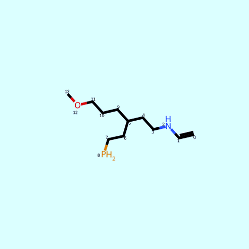 C=CNCCC(CCP)CCCOC